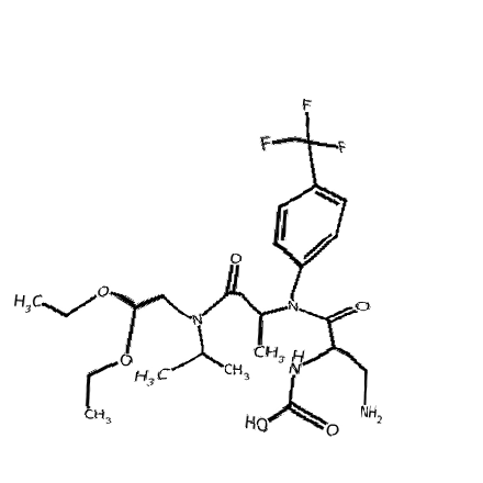 CCOC(CN(C(=O)C(C)N(C(=O)C(CN)NC(=O)O)c1ccc(C(F)(F)F)cc1)C(C)C)OCC